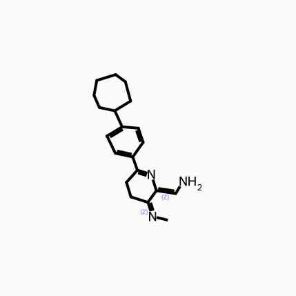 C/N=C1/CCC(c2ccc(C3CCCCCC3)cc2)=N/C1=C\N